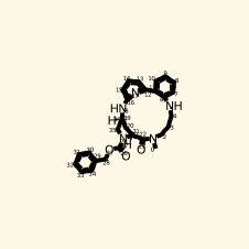 CN1CCCNc2ccccc2-c2cccc(n2)N[C@H]2C[C@@H](C1=O)N(C(=O)OCc1ccccc1)C2